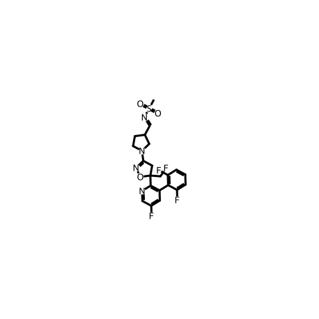 CS(=O)(=O)/N=C/C1CCN(C2=NOC(CF)(c3ncc(F)cc3-c3c(F)cccc3F)C2)C1